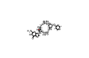 Nc1nc2c(ncn2[C@@H]2O[C@@H]3CO[P@@](=O)(S)O[C@H]4C[C@H](Oc5ccncn5)C[C@@H]4CO[P@](=O)(S)O[C@@H]2[C@@H]3O)c(=O)[nH]1